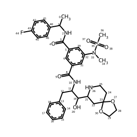 CC(NC(=O)c1cc(C(=O)NC(Cc2ccccc2)C(O)C2CC3(CCN2)OCCO3)cc(N(C)S(C)(=O)=O)c1)c1ccc(F)cc1